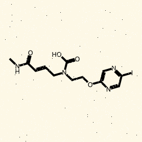 CNC(=O)C=CCN(CCOc1cnc(I)cn1)C(=O)O